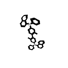 CC1=C(C2=C(C)CC(N(C3=CCCc4ccccc43)C3CC=CCC3)C=C2)C=CC(N(C2=C3C=CCCC3CC=C2)c2ccccc2)C1